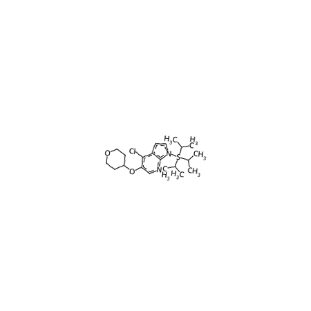 CC(C)S(C(C)C)(C(C)C)n1ccc2c(Cl)c(OC3CCOCC3)cnc21